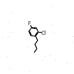 CCCCc1ccc(F)cc1Cl